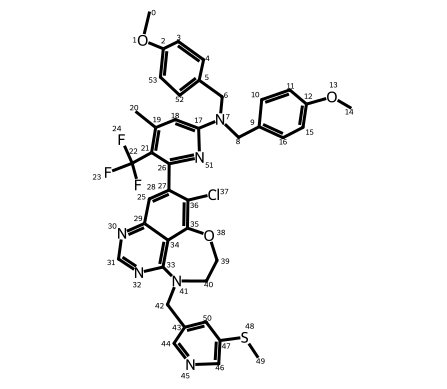 COc1ccc(CN(Cc2ccc(OC)cc2)c2cc(C)c(C(F)(F)F)c(-c3cc4ncnc5c4c(c3Cl)OCCN5Cc3cncc(SC)c3)n2)cc1